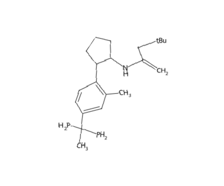 C=C(CC(C)(C)C)NC1CCCC1c1ccc(C(C)(P)P)cc1C